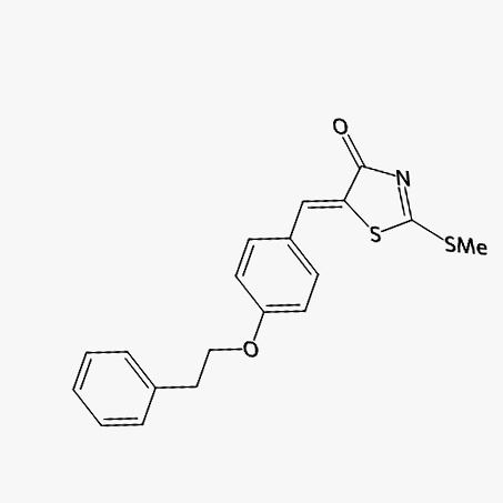 CSC1=NC(=O)C(=Cc2ccc(OCCc3ccccc3)cc2)S1